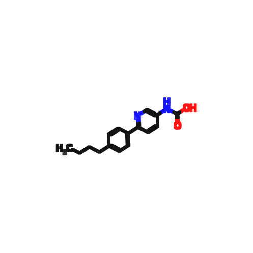 CCCCc1ccc(-c2ccc(NC(=O)O)cn2)cc1